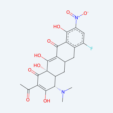 CC(=O)C1=C(O)[C@@H](N(C)C)C2CC3Cc4c(F)cc([N+](=O)[O-])c(O)c4C(=O)C3=C(O)[C@]2(O)C1=O